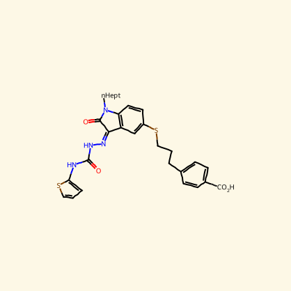 CCCCCCCN1C(=O)C(=NNC(=O)Nc2cccs2)c2cc(SCCCc3ccc(C(=O)O)cc3)ccc21